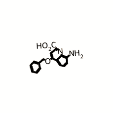 Nc1cccc2c(OCc3ccccc3)cc(C(=O)O)nc12